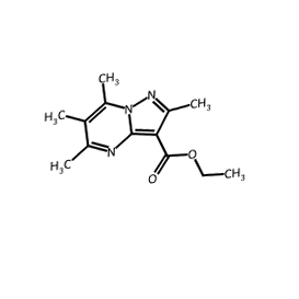 CCOC(=O)c1c(C)nn2c(C)c(C)c(C)nc12